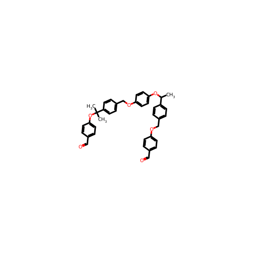 CC(Oc1ccc(OCc2ccc(C(C)(C)Oc3ccc(C=O)cc3)cc2)cc1)c1ccc(COc2ccc(C=O)cc2)cc1